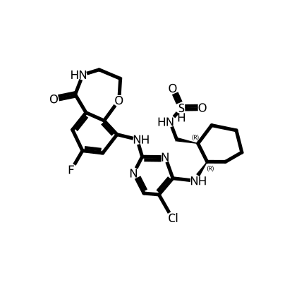 O=C1NCCOc2c(Nc3ncc(Cl)c(N[C@@H]4CCCC[C@@H]4CN[SH](=O)=O)n3)cc(F)cc21